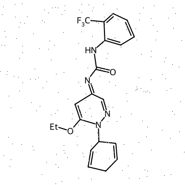 CCOc1cc(=NC(=O)Nc2ccccc2C(F)(F)F)cnn1C1C=CCC=C1